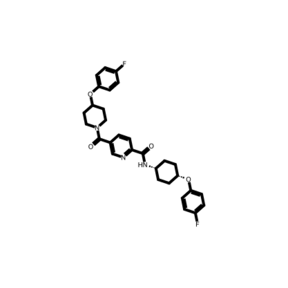 O=C(N[C@H]1CC[C@@H](Oc2ccc(F)cc2)CC1)c1ccc(C(=O)N2CCC(Oc3ccc(F)cc3)CC2)cn1